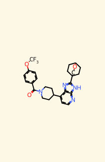 O=C(c1ccc(OC(F)(F)F)cc1)N1CCC(c2ccnc3[nH]c(C45CCC(CC4)OC5)nc23)CC1